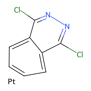 Clc1nnc(Cl)c2ccccc12.[Pt]